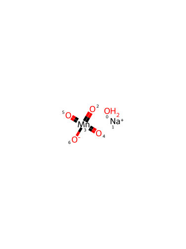 O.[Na+].[O]=[Mn](=[O])(=[O])[O-]